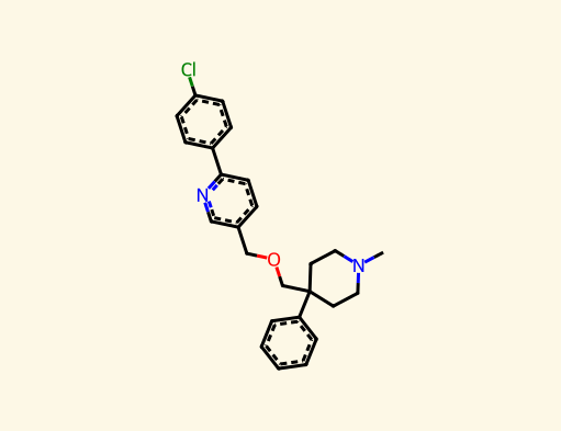 CN1CCC(COCc2ccc(-c3ccc(Cl)cc3)nc2)(c2ccccc2)CC1